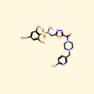 COc1cc(C)c(S(=O)(=O)N(C)Cc2nnc(C(=O)N3CCN(Cc4ccc(C(F)(F)F)nc4)CC3)o2)c(C)c1